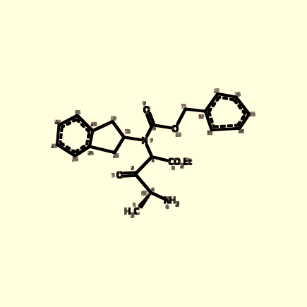 CCOC(=O)C(C(=O)[C@H](C)N)N(C(=O)OCc1ccccc1)C1Cc2ccccc2C1